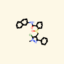 Cn1nc(-c2ccccc2)c(C[S+]([O-])c2ccccc2C(=O)Nc2ccc3ccccc3c2)c1Cl